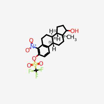 C[C@]12CC[C@@H]3c4ccc(OS(=O)(=O)C(F)(F)F)c([N+](=O)[O-])c4CC[C@H]3[C@@H]1CCC2O